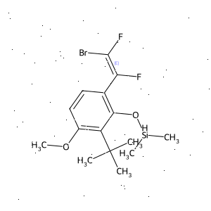 COc1ccc(/C(F)=C(/F)Br)c(O[SiH](C)C)c1C(C)(C)C